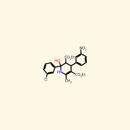 CCOC(=O)C1=C(C)NC(O)(c2cccc(Cl)c2)C(C(=O)OCC)C1c1cccc([N+](=O)[O-])c1